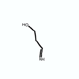 N=CCCO